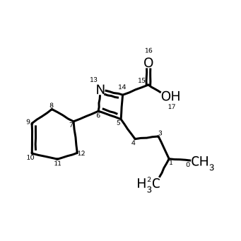 CC(C)CCC1=C(C2CC=CCC2)N=C1C(=O)O